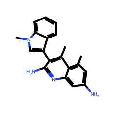 Cc1cc(N)cc2nc(N)c(-c3cn(C)c4ccccc34)c(C)c12